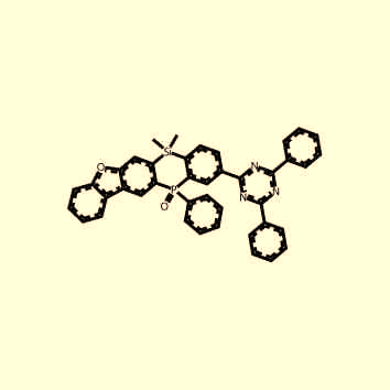 C[Si]1(C)c2ccc(-c3nc(-c4ccccc4)nc(-c4ccccc4)n3)cc2P(=O)(c2ccccc2)c2cc3c(cc21)oc1ccccc13